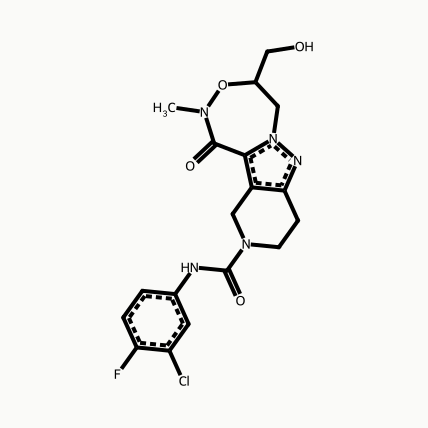 CN1OC(CO)Cn2nc3c(c2C1=O)CN(C(=O)Nc1ccc(F)c(Cl)c1)CC3